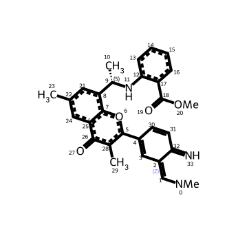 CN/C=C1/C=C(c2oc3c([C@H](C)Nc4ccccc4C(=O)OC)cc(C)cc3c(=O)c2C)C=CC1=N